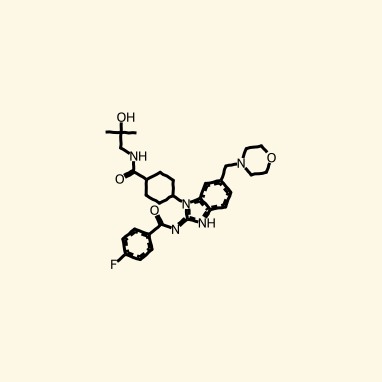 CC(C)(O)CNC(=O)C1CCC(n2/c(=N\C(=O)c3ccc(F)cc3)[nH]c3ccc(CN4CCOCC4)cc32)CC1